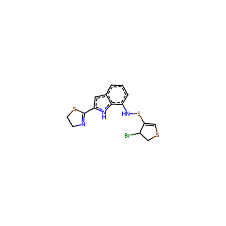 BrC1CSC=C1SNc1cccc2cc(C3=NCCS3)[nH]c12